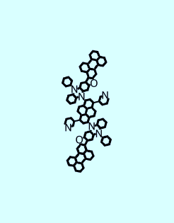 c1ccc(-n2c3ccccc3n(-c3cc(-c4cccnc4)c4ccc5c(-n6c7ccccc7n(-c7ccccc7)c7cc8c(cc76)oc6cc7c9cccc%10cccc(c%11cccc(c68)c%117)c%109)cc(-c6cccnc6)c6ccc3c4c65)c3cc4oc5cc6c7cccc8cccc(c9cccc(c5c4cc32)c96)c87)cc1